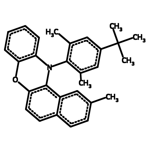 Cc1ccc2ccc3c(c2c1)N(c1c(C)cc(C(C)(C)C)cc1C)c1ccccc1O3